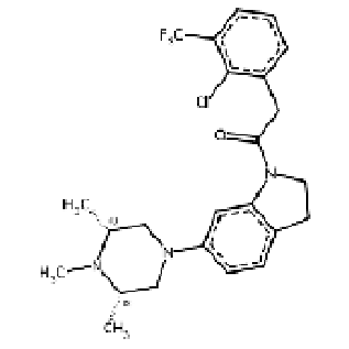 C[C@@H]1CN(c2ccc3c(c2)N(C(=O)Cc2cccc(C(F)(F)F)c2Cl)CC3)C[C@H](C)N1C